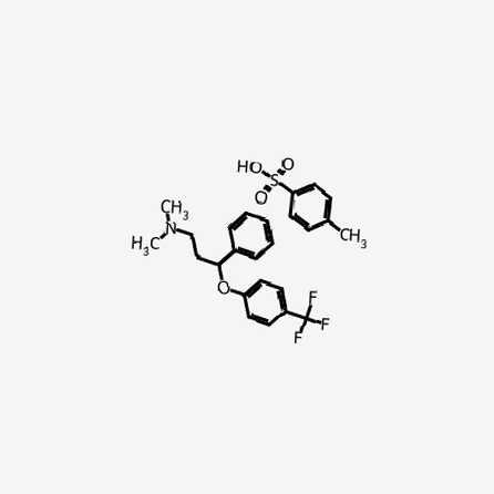 CN(C)CCC(Oc1ccc(C(F)(F)F)cc1)c1ccccc1.Cc1ccc(S(=O)(=O)O)cc1